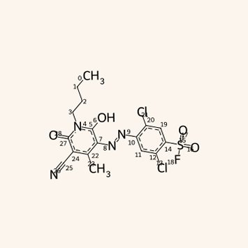 CCCCn1c(O)c(N=Nc2cc(Cl)c(S(=O)(=O)F)cc2Cl)c(C)c(C#N)c1=O